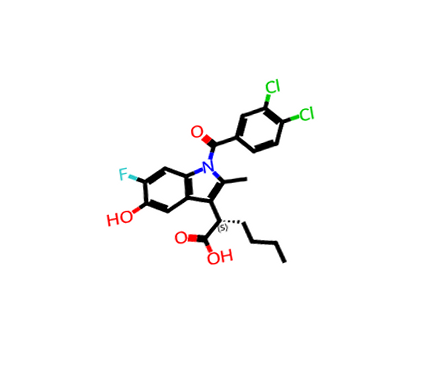 CCCC[C@H](C(=O)O)c1c(C)n(C(=O)c2ccc(Cl)c(Cl)c2)c2cc(F)c(O)cc12